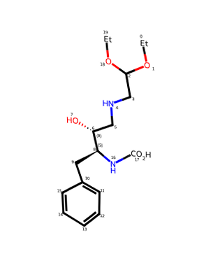 CCOC(CNC[C@@H](O)[C@H](Cc1ccccc1)NC(=O)O)OCC